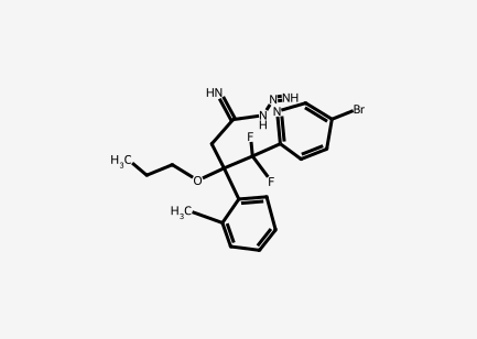 CCCOC(CC(=N)NN=N)(c1ccccc1C)C(F)(F)c1ccc(Br)cn1